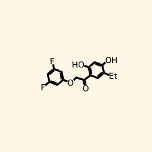 CCc1cc(C(=O)COc2cc(F)cc(F)c2)c(O)cc1O